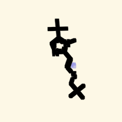 Cn1c(C(C)(C)C)cnc1/C=C/SCC(C)(C)C